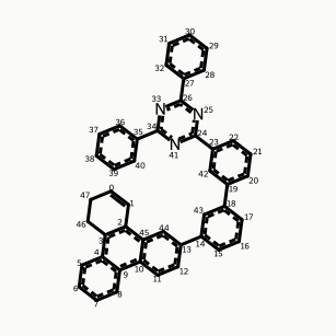 C1=Cc2c(c3ccccc3c3ccc(-c4cccc(-c5cccc(-c6nc(-c7ccccc7)nc(-c7ccccc7)n6)c5)c4)cc23)CC1